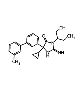 CCC(CC)N1C(=N)NC(c2cccc(-c3cccc(C)c3)c2)(C2CC2)C1=O